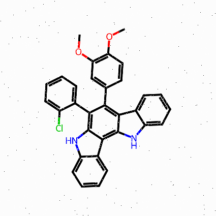 COc1ccc(-c2c(-c3ccccc3Cl)c3[nH]c4ccccc4c3c3[nH]c4ccccc4c23)cc1OC